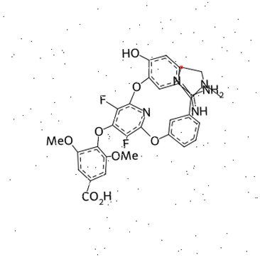 COc1cc(C(=O)O)cc(OC)c1Oc1c(F)c(Oc2cccc(C3=NCCN3C)c2)nc(Oc2cc(C(=N)N)ccc2O)c1F